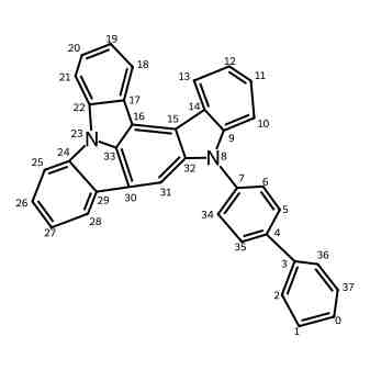 c1ccc(-c2ccc(-n3c4ccccc4c4c5c6ccccc6n6c7ccccc7c(cc43)c56)cc2)cc1